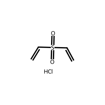 C=CS(=O)(=O)C=C.Cl